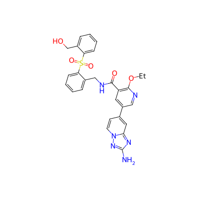 CCOc1ncc(-c2ccn3nc(N)nc3c2)cc1C(=O)NCc1ccccc1S(=O)(=O)c1ccccc1CO